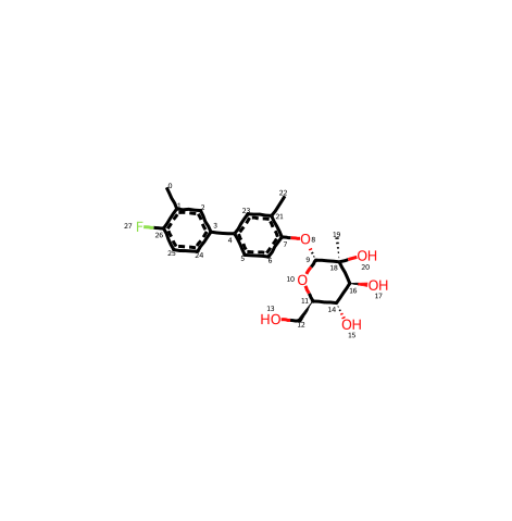 Cc1cc(-c2ccc(O[C@H]3O[C@H](CO)[C@@H](O)[C@H](O)[C@]3(C)O)c(C)c2)ccc1F